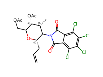 C=CC[C@@H]1OC(COC(C)=O)[C@H](OC(C)=O)[C@H](C)C1N1C(=O)c2c(Cl)c(Cl)c(Cl)c(Cl)c2C1=O